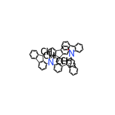 CC1(C)c2ccccc2-c2cccc(N(c3cccc(-c4cc(-n5c6ccccc6c6ccccc65)cc5ccccc45)c3)c3cccc4c3C(C)(C)c3ccccc3-4)c21